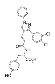 O=C(/C=C/c1cn(-c2ccccc2)nc1-c1ccc(Cl)c(Cl)c1)NC(Cc1ccc(O)cc1)C(=O)O